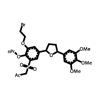 CCCOc1c(OCCBr)cc(C2CCC(c3cc(OC)c(OC)c(OC)c3)O2)cc1S(=O)(=O)CC(C)=O